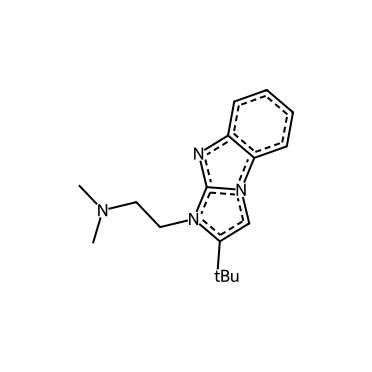 CN(C)CCn1c(C(C)(C)C)cn2c3ccccc3nc12